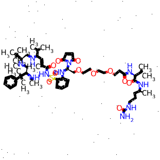 CN[C@H](CN(C)[C@H](CNC(/C=C(\C)C(=O)NS(=O)(=O)c1ccccc1N[C@H](COCCOCCOCCC(=O)N[C@H](C(=O)N[C@@H](C)CCCNC(N)=O)C(C)C)N1C(=O)C=CC1=O)C(C)C)C(C)(C)C)C(C)(C)c1ccccc1